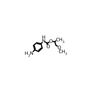 COCC(C)OC(=O)Nc1ccc(N)cc1